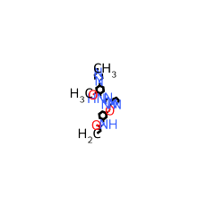 C=CC(=O)Nc1cccc(Oc2nc(Nc3ccc(N4CCN(C)CC4)cc3OC)nc3ccnn23)c1